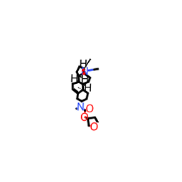 C[C@H]1[C@H]2CC[C@H]3[C@@H]4CC=C5C[C@@H](N(C)C(=O)OC6CCOC6)CC[C@]5(C)[C@H]4CCC23CN1C